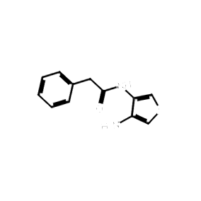 Nc1cscc1NC(=O)Cc1ccccc1